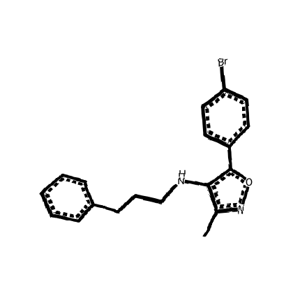 Cc1noc(-c2ccc(Br)cc2)c1NCCCc1ccccc1